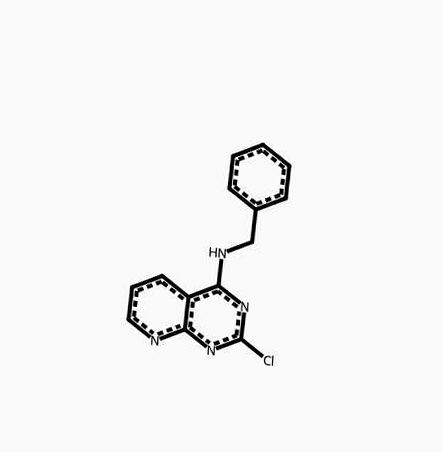 Clc1nc(NCc2ccccc2)c2cccnc2n1